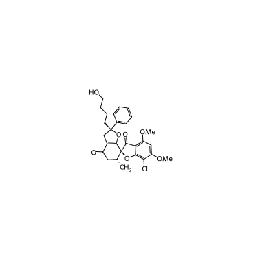 COc1cc(OC)c2c(c1Cl)O[C@]1(C2=O)C2=C(C[C@](CCCCO)(c3ccccc3)O2)C(=O)C[C@H]1C